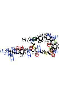 CN(C)CCSCC(CC(=O)NCc1ccc(Cn2c(O)nc3c(N)n[nH]c32)cc1)C(=O)NCCSCCS(=O)(=O)Nc1ccc(F)c(C(=O)c2c[nH]c3ncc(-c4ccc(Cl)cc4)cc23)c1F